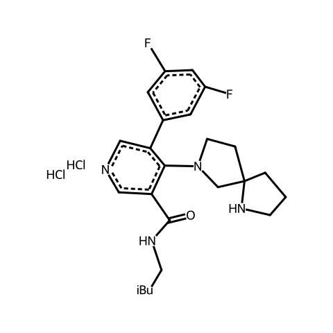 CCC(C)CNC(=O)c1cncc(-c2cc(F)cc(F)c2)c1N1CCC2(CCCN2)C1.Cl.Cl